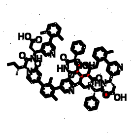 CC[C@@H](C)[C@H](C(=O)N[C@@H](CC(=O)O)c1cncc(-c2c(C)cccc2C)c1)n1ccc(-c2ccc(C)c(-c3cncc([C@H](CC(=O)O)NC(=O)[C@@H](c4ccccc4)N4CC(Cc5cccc(C)c5-c5cncc([C@H](CC(=O)O)NC(=O)[C@H](c6ccccc6)N6CC(C)CCC6=O)c5)CCC4=O)c3)c2C)cc1=O